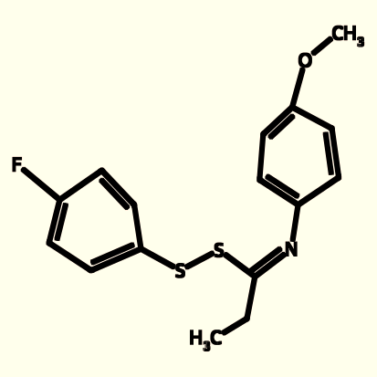 CCC(=Nc1ccc(OC)cc1)SSc1ccc(F)cc1